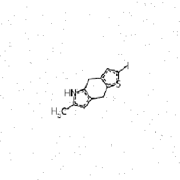 Cc1cc2c([nH]1)Cc1cc(I)sc1C2